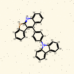 c1ccc2c(-c3ccc(-n4c5ccccc5c5ccccc54)cc3)c3c(nc2c1)sc1ccccc13